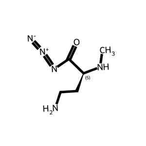 CN[C@@H](CCN)C(=O)N=[N+]=[N-]